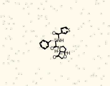 O=C(N[C@@H](Cc1ccccc1)C(=O)N1CC[C@H]2OCC(=O)[C@H]21)c1ccsc1